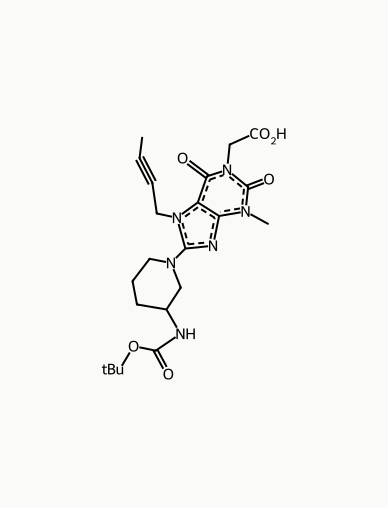 CC#CCn1c(N2CCCC(NC(=O)OC(C)(C)C)C2)nc2c1c(=O)n(CC(=O)O)c(=O)n2C